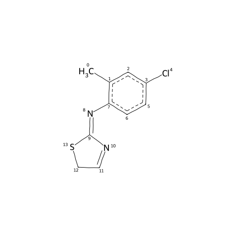 Cc1cc(Cl)ccc1N=C1N=CCS1